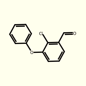 O=Cc1cccc(Oc2ccccc2)c1Cl